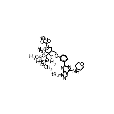 C[SiH2]OC(O[SiH2]C)C(C)(C)C(COc1cccc(-c2nc(NC3CCOCC3)c3cnn(C(C)(C)C)c3n2)c1)CN(C)C(=O)OC(C)(C)C